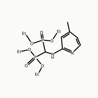 CCOP(=O)(OCC)C(Nc1cc(C)ccn1)P(=O)(OCC)OCC